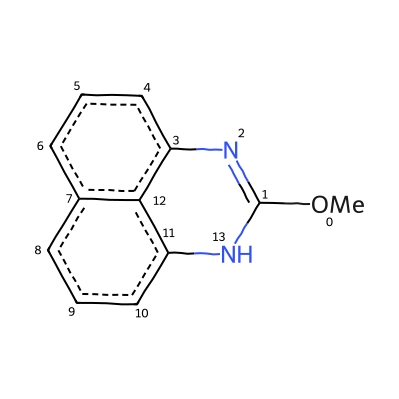 COC1=Nc2cccc3cccc(c23)N1